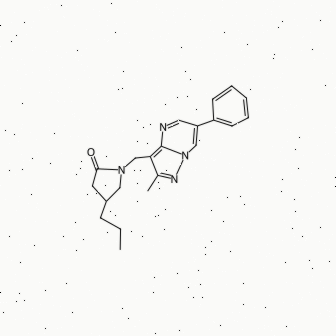 CCCC1CC(=O)N(Cc2c(C)nn3cc(-c4ccccc4)cnc23)C1